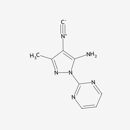 [C-]#[N+]c1c(C)nn(-c2ncccn2)c1N